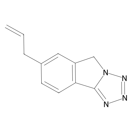 C=CCc1ccc2c(c1)Cn1nnnc1-2